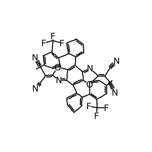 Cc1ccc(-c2ccccc2-c2c3nc(=C(C#N)C#N)oc3c(-c3ccccc3-c3ccc(C)cc3C(F)(F)F)c3nc(=C(C#N)C#N)oc23)c(C(F)(F)F)c1